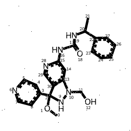 COC1(c2ccncc2)NN(CO)c2cc(NC(=O)NC(C)c3ccccc3)ncc21